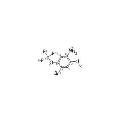 COc1cc(Br)c(OC(F)(F)F)cc1N